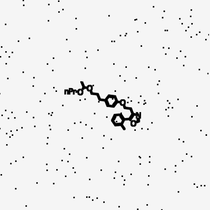 CCCOC(C)OCCCc1ccc(OCCc2ncoc2-c2ccccc2C)cc1